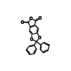 O=C1OC(=O)c2cc3c(cc21)OC(c1ccccc1)(c1ccccc1)O3